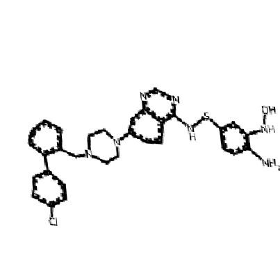 Nc1ccc(SNc2ncnc3cc(N4CCN(Cc5ccccc5-c5ccc(Cl)cc5)CC4)ccc23)cc1NO